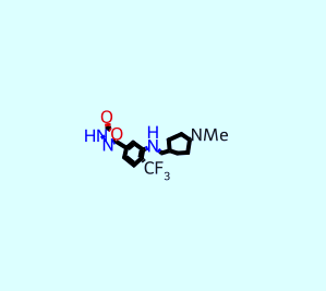 CNC1CCC(CNc2cc(-c3n[nH]c(=O)o3)ccc2C(F)(F)F)CC1